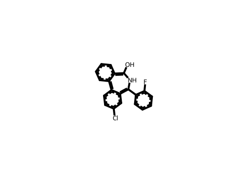 OC1=c2ccccc2=c2ccc(Cl)cc2=C(c2ccccc2F)N1